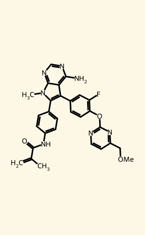 C=C(C)C(=O)Nc1ccc(-c2c(-c3ccc(Oc4nccc(COC)n4)c(F)c3)c3c(N)ncnc3n2C)cc1